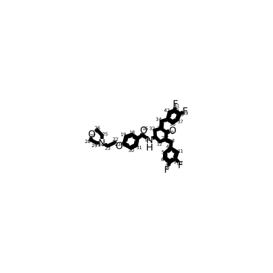 O=C1C(=Cc2ccc(F)c(F)c2)CC(NC(=O)c2ccc(OCCN3CCOCC3)cc2)CC1=Cc1ccc(F)c(F)c1